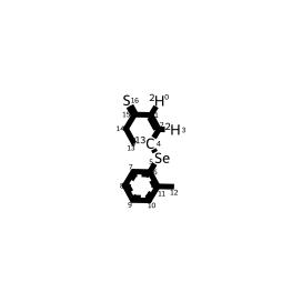 [2H]C1=C([2H])[13C]([Se]c2ccccc2C)=CCC1=S